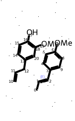 C/C=C/c1ccc(OC)cc1.C=CCc1ccc(O)c(OC)c1